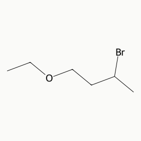 CCOCCC(C)Br